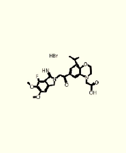 Br.COc1cc2c(c(F)c1OC)C(=N)N(CC(=O)c1cc(C(C)C)c3c(c1)N(CC(=O)O)CCO3)C2